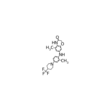 Cc1cc(N2CCC(C(F)(F)F)CC2)ccc1Nc1cc(C)c2c(c1)OCC(=O)N2